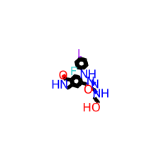 O=C1NCc2cc(-c3nnc(NCCO)o3)c(Nc3ccc(I)cc3F)cc21